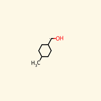 CC1CCC([CH]O)CC1